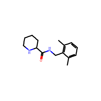 Cc1cccc(C)c1CNC(=O)C1CCCCN1